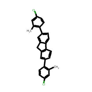 Cc1cc(Cl)ccc1-c1ccc2c(c1)Cc1cc(-c3ccc(Cl)cc3C)ccc1-2